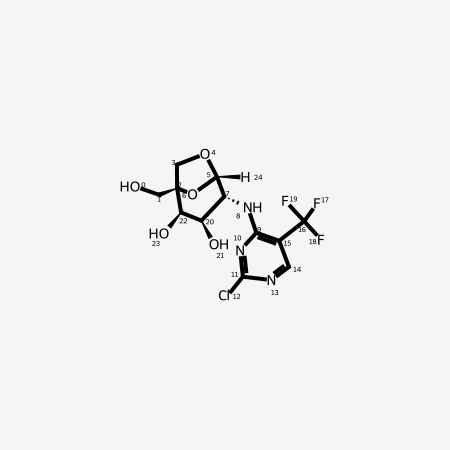 OC[C@@]12CO[C@@H](O1)[C@H](Nc1nc(Cl)ncc1C(F)(F)F)[C@@H](O)[C@H]2O